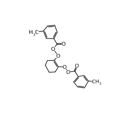 Cc1cccc(C(=O)OOC2=C(OOC(=O)c3cccc(C)c3)CCCC2)c1